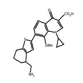 COc1c(-c2cc3c(s2)CCCC3CN)ccc2c(=O)c(C(=O)O)cn(C3CC3)c12